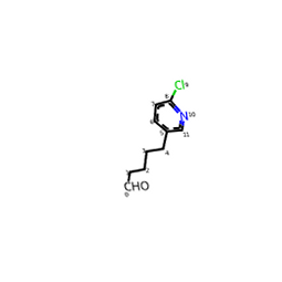 O=CCCCCc1ccc(Cl)nc1